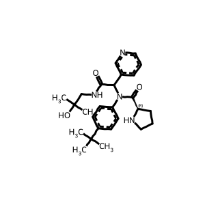 CC(C)(O)CNC(=O)C(c1cccnc1)N(C(=O)[C@H]1CCCN1)c1ccc(C(C)(C)C)cc1